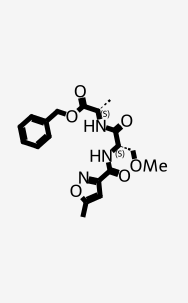 COC[C@H](NC(=O)c1cc(C)on1)C(=O)N[C@@H](C)C(=O)OCc1ccccc1